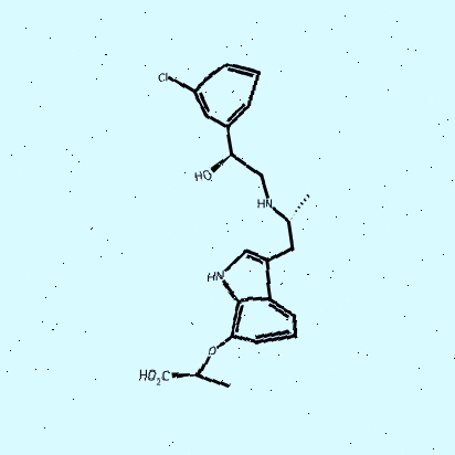 C[C@H](Cc1c[nH]c2c(O[C@@H](C)C(=O)O)cccc12)NC[C@@H](O)c1cccc(Cl)c1